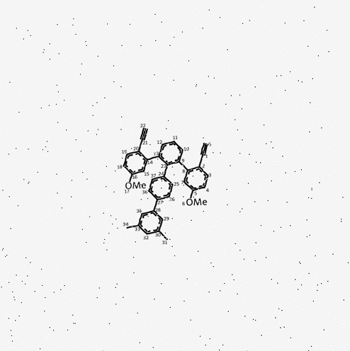 C#Cc1ccc(OC)cc1-c1cccc(-c2cc(OC)ccc2C#C)c1-c1ccc(-c2cc(C)cc(C)c2)cc1